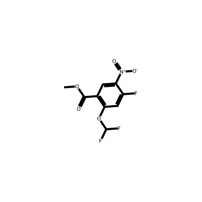 COC(=O)c1cc([N+](=O)[O-])c(F)cc1OC(F)F